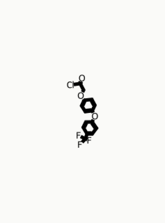 O=C(Cl)COc1ccc(Oc2ccc(C(F)(F)F)cc2)cc1